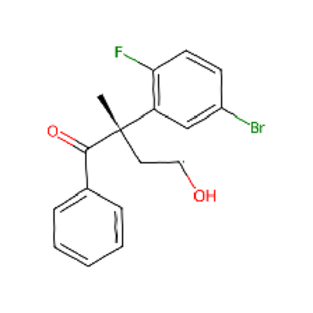 C[C@@](C[CH]O)(C(=O)c1ccccc1)c1cc(Br)ccc1F